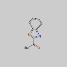 CCC(C)C(=O)c1nc2ccccc2s1